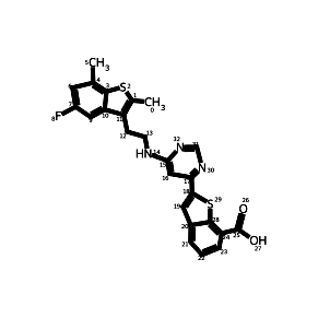 Cc1sc2c(C)cc(F)cc2c1CCNc1cc(-c2cc3cccc(C(=O)O)c3s2)ncn1